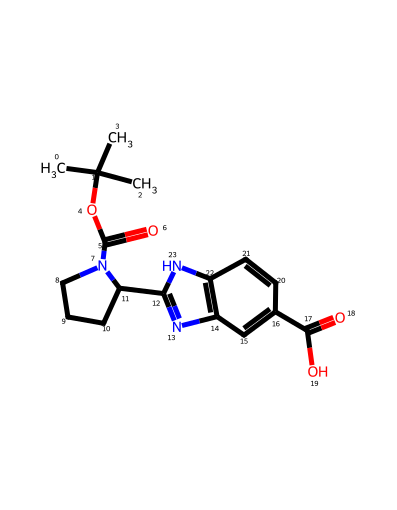 CC(C)(C)OC(=O)N1CCCC1c1nc2cc(C(=O)O)ccc2[nH]1